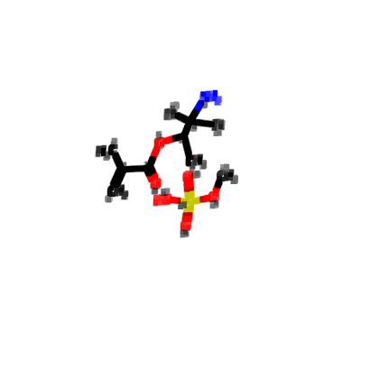 C=C(C)C(=O)OC(C)C(N)(CC)CC.COS(=O)(=O)O